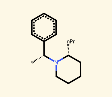 CCC[C@@H]1CCCCN1[C@H](C)c1ccccc1